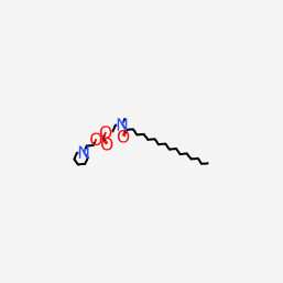 CCCCCCCCCCCCCCCC(=O)N(C)CCOC(=O)OCCN1CCCCC1